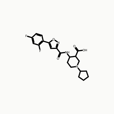 O=C(NC1CCN(C2CCCC2)CC1C(=O)O)c1cc(-c2ccc(F)cc2F)on1